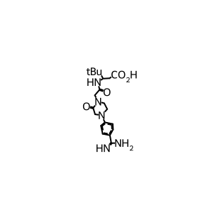 CC(C)(C)C(CC(=O)O)NC(=O)CN1CCN(c2ccc(C(=N)N)cc2)CC1=O